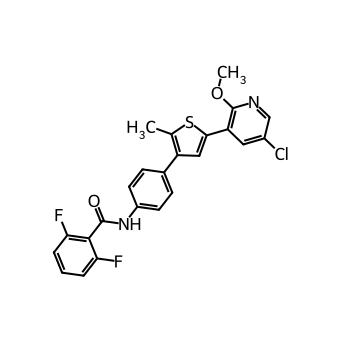 COc1ncc(Cl)cc1-c1cc(-c2ccc(NC(=O)c3c(F)cccc3F)cc2)c(C)s1